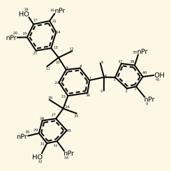 CCCc1cc(C(C)(C)c2cc(C(C)(C)c3cc(CCC)c(O)c(CCC)c3)cc(C(C)(C)c3cc(CCC)c(O)c(CCC)c3)c2)cc(CCC)c1O